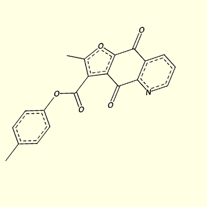 Cc1ccc(OC(=O)c2c(C)oc3c2C(=O)c2ncccc2C3=O)cc1